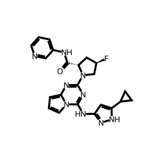 O=C(Nc1cccnc1)[C@@H]1C[C@@H](F)CN1c1nc(Nc2cc(C3CC3)[nH]n2)n2cccc2n1